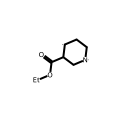 CCOC(=O)C1[CH]CC[N]C1